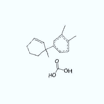 Cc1ccc(C2(C)C=CCCC2)cc1C.O=C(O)O